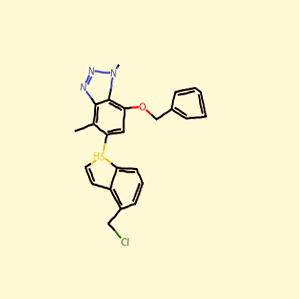 Cc1c([SH]2C=Cc3c(CCl)cccc32)cc(OCc2ccccc2)c2c1nnn2C